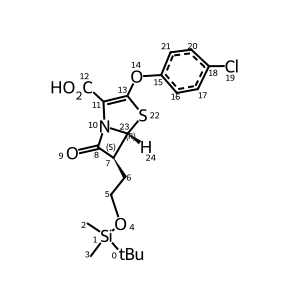 CC(C)(C)[Si](C)(C)OCC[C@H]1C(=O)N2C(C(=O)O)=C(Oc3ccc(Cl)cc3)S[C@H]12